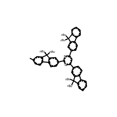 CCCCC1(CCCC)c2ccccc2-c2ccc(-c3cc(-c4ccc5c(c4)C(CCCC)(CCCC)c4ccccc4-5)nc(-c4ccc5c(c4)C(CCCC)(CCCC)c4cc(C)ccc4-5)n3)cc21